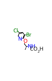 C[C@@H](COc1ncc(Cl)cc1Br)NC(=O)O